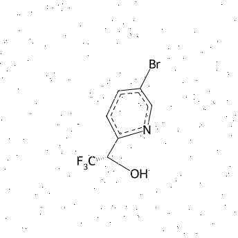 O[C@@H](c1ccc(Br)cn1)C(F)(F)F